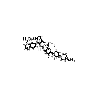 COc1nc(N2CCC(N3CCN(C)CC3)CC2)c(C)cc1Nc1ncc(Cl)c(Nc2ccc3nccnc3c2P(C)C)n1